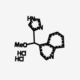 COC(c1c[nH]cn1)c1ccnc2ccccc12.Cl.Cl